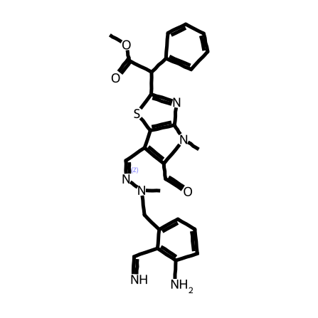 COC(=O)C(c1ccccc1)c1nc2c(s1)c(/C=N\N(C)Cc1cccc(N)c1C=N)c(C=O)n2C